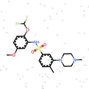 COc1ccc(OC(F)F)c(NS(=O)(=O)c2ccc(C)c(N3CCN(C)CC3)c2)c1